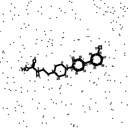 O=C(O)NCCC1CCN(c2ccc(-c3cccc(Cl)c3)cn2)CC1